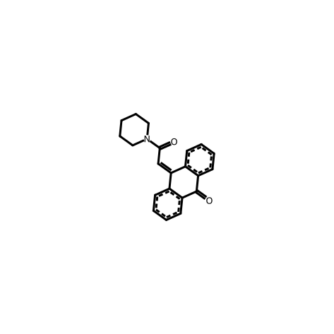 O=C1c2ccccc2C(=CC(=O)N2CCCCC2)c2ccccc21